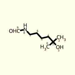 CC(C)(O)CCCCNC=O